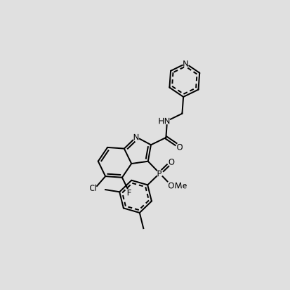 COP(=O)(C1=C(C(=O)NCc2ccncc2)N=C2C=CC(Cl)=C(F)C21)c1cc(C)cc(C)c1